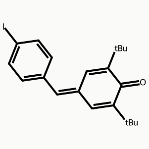 CC(C)(C)C1=CC(=Cc2ccc(I)cc2)C=C(C(C)(C)C)C1=O